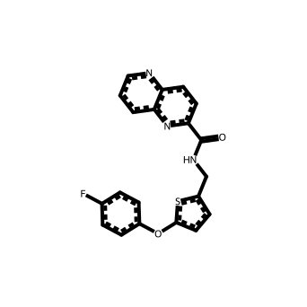 O=C(NCc1ccc(Oc2ccc(F)cc2)s1)c1ccc2ncccc2n1